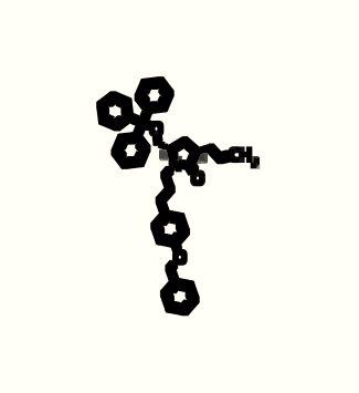 C=CC[C@@H]1C[C@@H](COC(c2ccccc2)(c2ccccc2)c2ccccc2)N(CCCc2ccc(OCc3ccccc3)cc2)C1=O